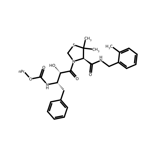 CCCOC(=O)N[C@@H](Cc1ccccc1)[C@H](O)C(=O)N1CSC(C)(C)[C@H]1C(=O)NCc1ccccc1C